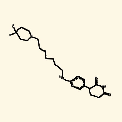 O=C1CCC(c2ccc(NCCCCCCCN3CCC(F)(F)CC3)cc2)C(=O)N1